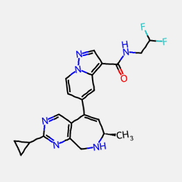 C[C@@H]1C=C(c2ccn3ncc(C(=O)NCC(F)F)c3c2)c2cnc(C3CC3)nc2CN1